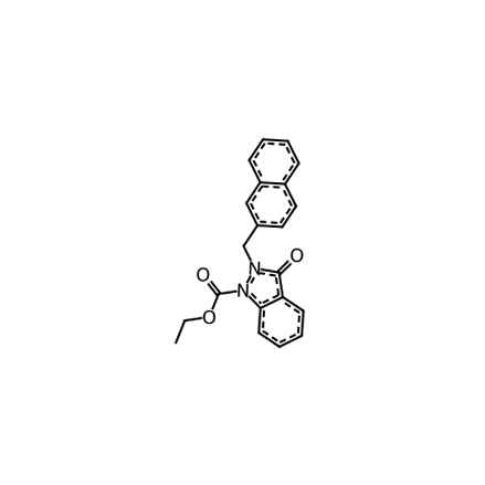 CCOC(=O)n1c2ccccc2c(=O)n1Cc1ccc2ccccc2c1